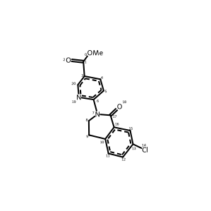 COC(=O)c1ccc(N2CCc3ccc(Cl)cc3C2=O)nc1